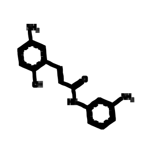 Nc1cccc(NC(=O)/C=C/c2cc(N)ccc2O)c1